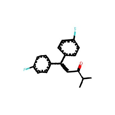 CC(C)C(=O)C=C(c1ccc(F)cc1)c1ccc(F)cc1